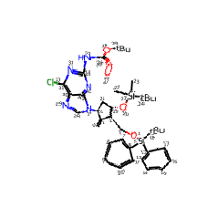 C=C1[C@H](CO[Si](c2ccccc2)(c2ccccc2)C(C)(C)C)[C@@H](O[Si](C)(C)C(C)(C)C)C[C@@H]1n1cnc2c(Cl)nc(NC(=O)OC(C)(C)C)nc21